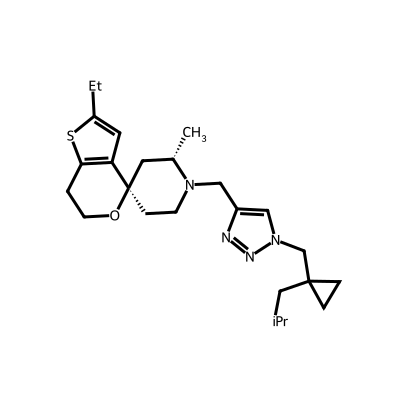 CCc1cc2c(s1)CCO[C@@]21CCN(Cc2cn(CC3(CC(C)C)CC3)nn2)[C@@H](C)C1